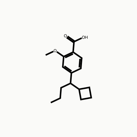 CCCC(c1ccc(C(=O)O)c(OC)c1)C1CCC1